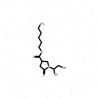 CCCCCCOC(=O)C1CC(=O)N(C(O)CO)C1